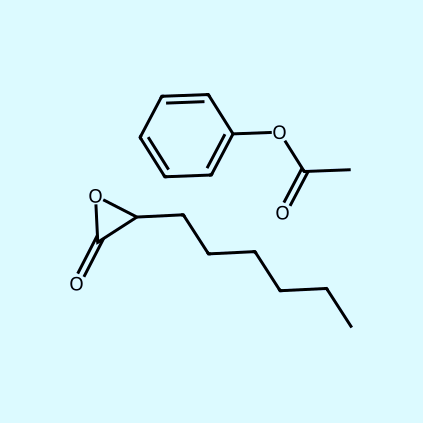 CC(=O)Oc1ccccc1.CCCCCCC1OC1=O